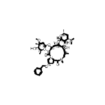 CO[C@]1(C)C[C@H](O[C@H]2[C@H](C)[C@H]3O[C@@H]4O[C@H](C)C[C@H](N(C)C)[C@H]4O[C@@]3(O)C[C@@H](C)CN(C)C(=O)C3C[C@H](OCc4ccccc4)CN3C(=O)[C@@H]2C)O[C@@H](C)[C@@H]1O